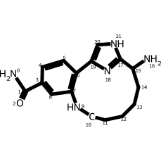 NC(=O)c1ccc2c(c1)NCCCCCC(N)c1nc-2c[nH]1